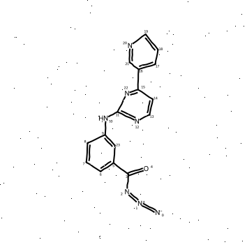 [N-]=[N+]=NC(=O)c1cccc(Nc2nccc(-c3cccnc3)n2)c1